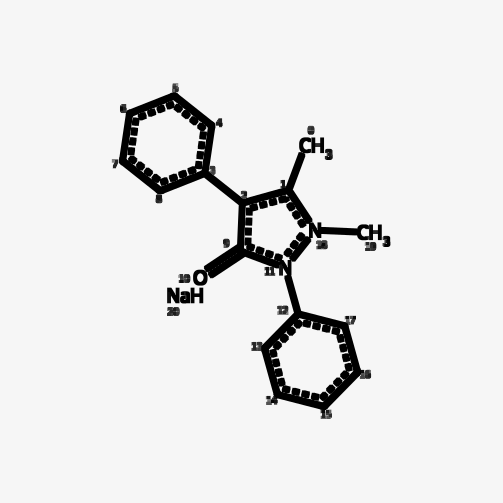 Cc1c(-c2ccccc2)c(=O)n(-c2ccccc2)n1C.[NaH]